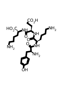 NCCCC[C@@H](NC(=O)[C@@H](CCC(=O)O)NC(=O)[C@@H](CCCCN)NC(=O)[C@@H](N)Cc1ccc(O)cc1)C(=O)O